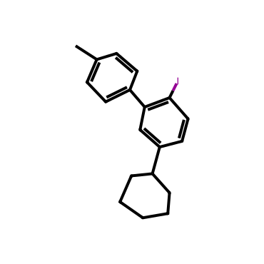 Cc1ccc(-c2cc(C3CCCCC3)ccc2I)cc1